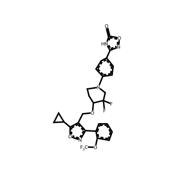 O=c1[nH]c(-c2ccc(N3CCC(OCc4c(-c5ccccc5OC(F)(F)F)noc4C4CC4)C(F)(F)C3)cc2)no1